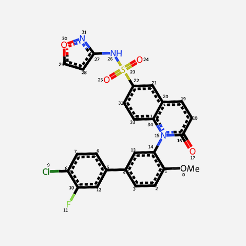 COc1ccc(-c2ccc(Cl)c(F)c2)cc1-n1c(=O)ccc2cc(S(=O)(=O)Nc3ccon3)ccc21